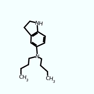 CCCCN(CCCC)c1ccc2c(c1)CCN2